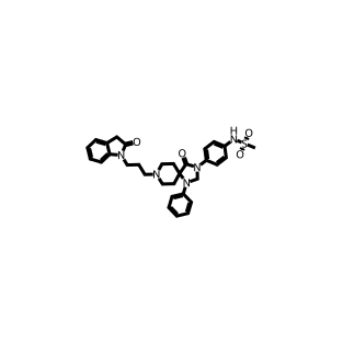 CS(=O)(=O)Nc1ccc(N2CN(c3ccccc3)C3(CCN(CCCN4C(=O)Cc5ccccc54)CC3)C2=O)cc1